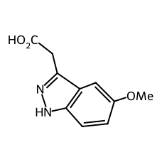 COc1ccc2[nH]nc(CC(=O)O)c2c1